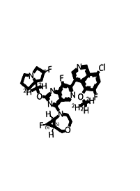 [2H]C([2H])([2H])Oc1c(F)cc(Cl)c2cncc(-c3ncc4c(N5CCOC[C@H]6[C@H](F)[C@H]65)nc(OC([2H])([2H])[C@@]56CCCN5C[C@H](F)C6)nc4c3F)c12